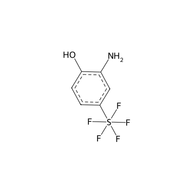 Nc1cc(S(F)(F)(F)(F)F)ccc1O